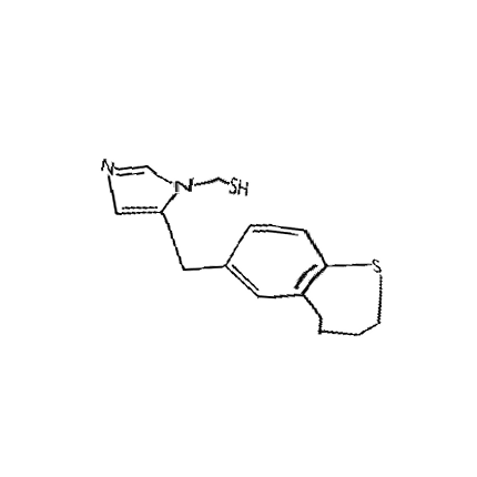 Sn1cncc1Cc1ccc2c(c1)CCCS2